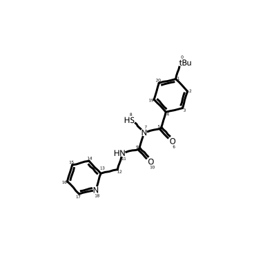 CC(C)(C)c1ccc(C(=O)N(S)C(=O)NCc2ccccn2)cc1